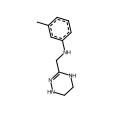 Cc1cccc(NCC2=NNCCN2)c1